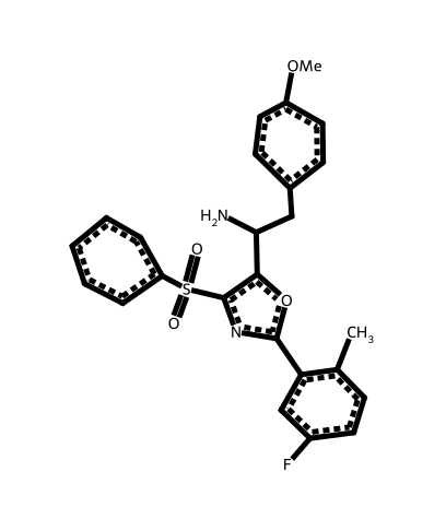 COc1ccc(CC(N)c2oc(-c3cc(F)ccc3C)nc2S(=O)(=O)c2ccccc2)cc1